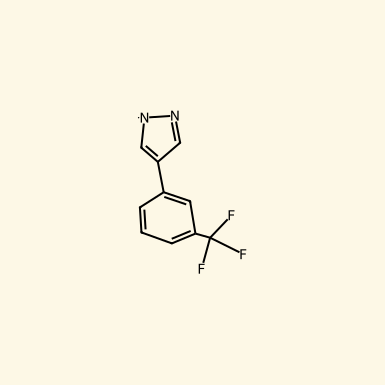 FC(F)(F)c1cccc(C2=C[N]N=C2)c1